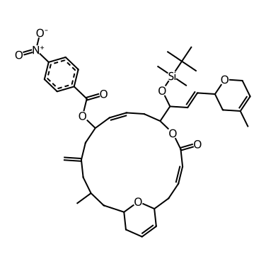 C=C1CC(C)CC2CC=CC(CC=CC(=O)OC(C(C=CC3CC(C)=CCO3)O[Si](C)(C)C(C)(C)C)CC=CC(OC(=O)c3ccc([N+](=O)[O-])cc3)C1)O2